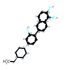 CC[C@H]1CC[C@H](c2ccc(-c3ccc4c(F)c(F)ccc4c3)c(F)c2)CC1